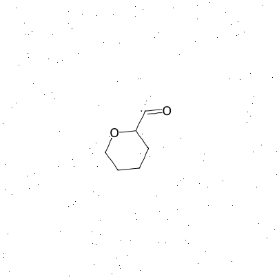 O=[C]C1CCCCO1